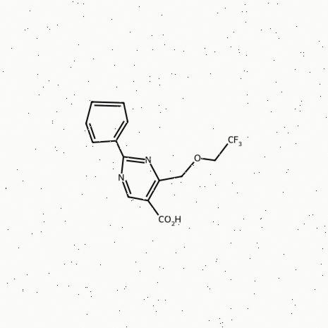 O=C(O)c1cnc(-c2ccccc2)nc1COCC(F)(F)F